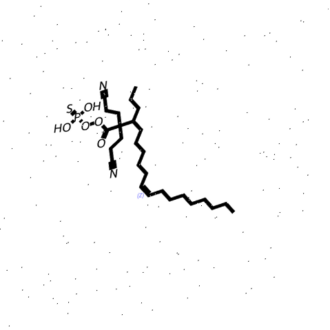 CCCCCCCC/C=C\CCCCCC(CCC)C(CCC#N)(CCC#N)C(=O)OOP(O)(O)=S